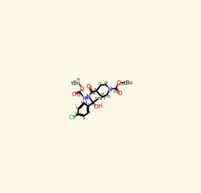 CCCC(O)(c1ccc(Cl)cc1)N(NC(=O)OC(C)(C)C)C(=O)C1CCN(C(=O)OC(C)(C)C)CC1